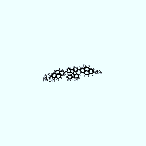 CC(C)(C)c1cc2ccc3cc(-c4ccc5c(c4)C(c4ccccc4)(c4ccccc4)c4cc(-c6cc7ccc8cc(C(C#N)(C#N)C#N)cc9ccc(c6)c7c89)ccc4-5)cc4ccc(c1)c2c34